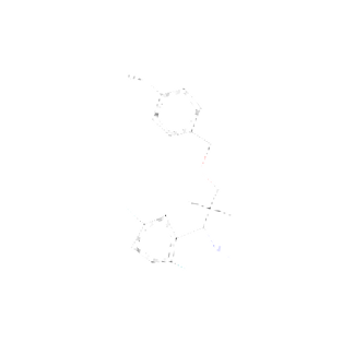 COc1ccc(COCC(C)(C)C(N)c2cc(F)ccc2F)cc1